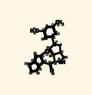 Cc1cc(C)nc(N2CC3CNC(C(=O)c4c(C)nc5sccn45)C3C2)n1